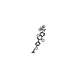 CN(c1ccc2c(=O)c(-c3ccc(OCC4CC4)cc3)coc2c1)S(C)(=O)=O